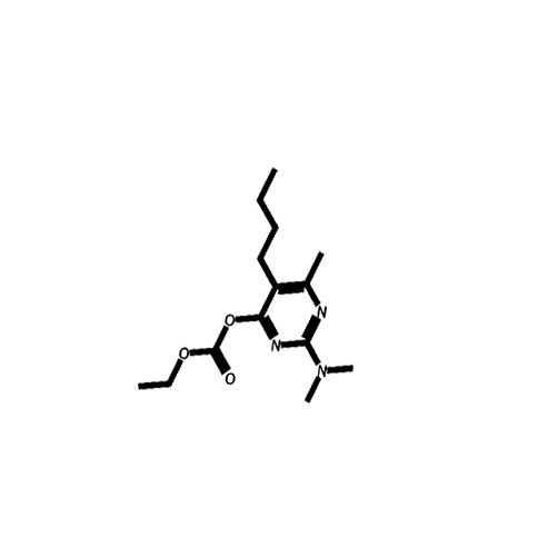 CCCCc1c(C)nc(N(C)C)nc1OC(=O)OCC